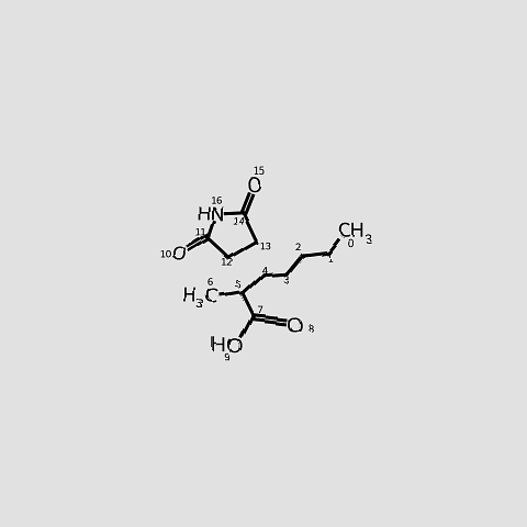 CCCCCC(C)C(=O)O.O=C1CCC(=O)N1